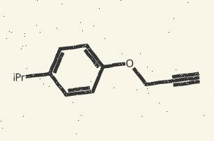 C#CCOc1ccc(C(C)C)cc1